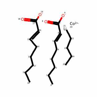 CCCCCC=CC(=O)[O-].CCCCCC=CC(=O)[O-].[Co+2].[Li][CH2]CCC